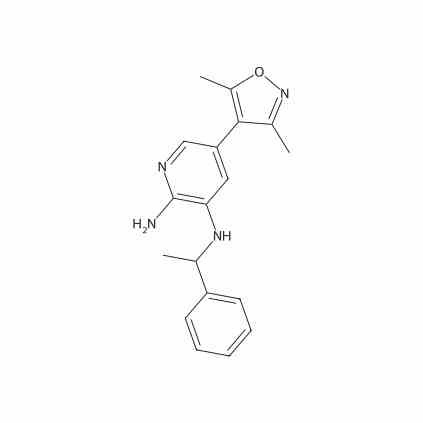 Cc1noc(C)c1-c1cnc(N)c(NC(C)c2ccccc2)c1